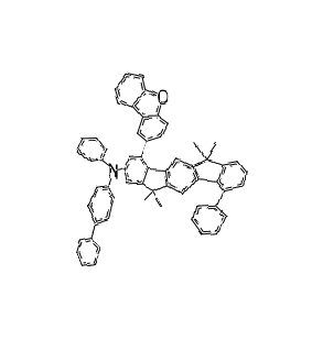 CC1(C)c2cc3c(cc2-c2c(-c4ccccc4)cccc21)C(C)(C)c1cc(N(c2ccccc2)c2ccc(-c4ccccc4)cc2)cc(-c2ccc4oc5ccccc5c4c2)c1-3